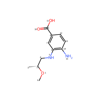 CO[C@H](C)CNc1cc(C(=O)O)ccc1N